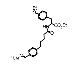 CCOC(=O)C(Cc1ccc(OCC)cc1)NC(=O)CCCCc1ccc(C=NN)cc1